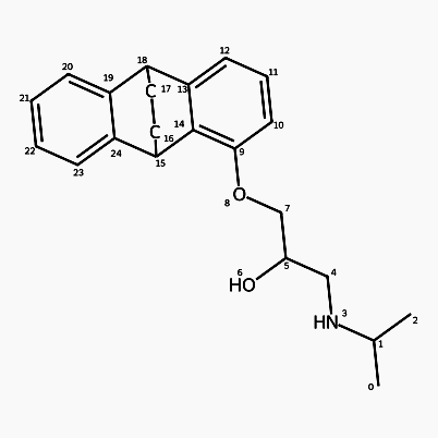 CC(C)NCC(O)COc1cccc2c1C1CCC2c2ccccc21